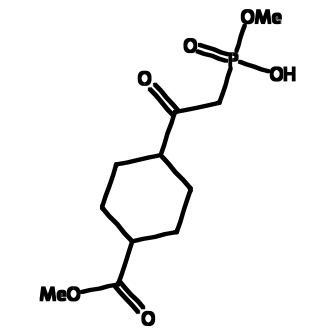 COC(=O)C1CCC(C(=O)CP(=O)(O)OC)CC1